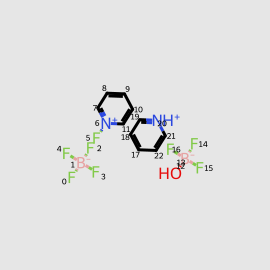 F[B-](F)(F)F.F[n+]1ccccc1.O[B-](F)(F)F.c1cc[nH+]cc1